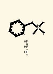 C[PH](C)(C)Cc1ccccc1.F.F.F